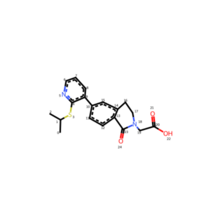 CC(C)Sc1ncccc1-c1ccc2c(c1)CCN(CC(=O)O)C2=O